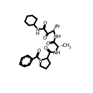 CC(C)[C@H](NC(=O)[C@H](C)NC(=O)C1CCCN1C(=O)c1ccccc1)C(=O)C(=O)NC1CCCCC1